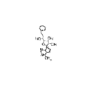 Cc1ncnc2c1ccn2C1OC(C(O)CCc2ccccc2)C(O)C1O